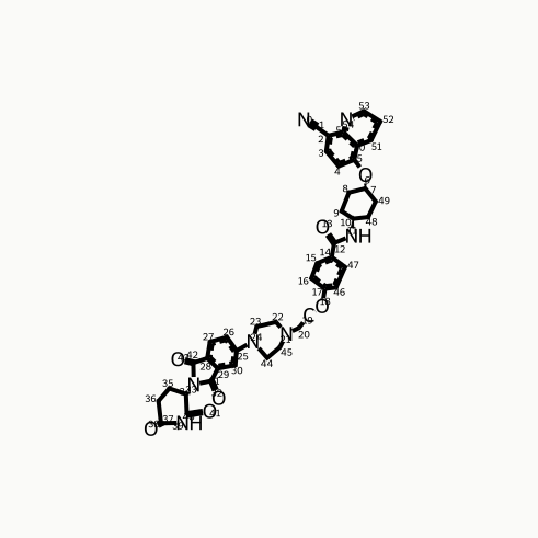 N#Cc1ccc(O[C@H]2CC[C@H](NC(=O)c3ccc(OCCN4CCN(c5ccc6c(c5)C(=O)N(C5CCC(=O)NC5=O)C6=O)CC4)cc3)CC2)c2cccnc12